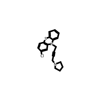 Clc1ccc2c(c1)N(CC#CCN1CCCC1)c1ccccc1S2